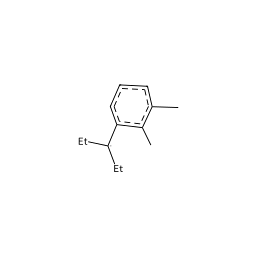 CC[C](CC)c1cccc(C)c1C